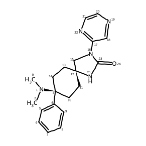 CN(C)[C@]1(c2ccccc2)CC[C@@]2(CC1)CN(c1cnccn1)C(=O)N2